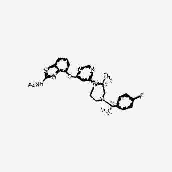 CC(=O)Nc1nc2c(Oc3cc(N4CCN([C@@H](C)c5ccc(F)cc5)C[C@@H]4C)ncn3)cccc2s1